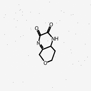 O=C1N=C2COCCC2NC1=O